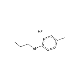 CC[CH2][Al][c]1ccc(C)cc1.F